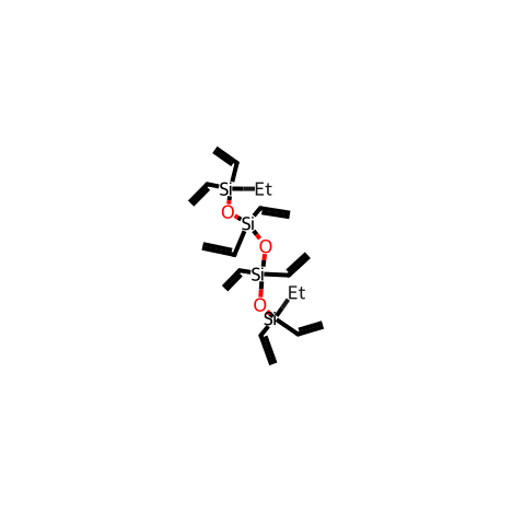 C=C[Si](C=C)(CC)O[Si](C=C)(C=C)O[Si](C=C)(C=C)O[Si](C=C)(C=C)CC